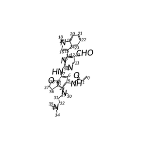 C=CC(=O)Nc1cc(Nc2ncc(C=O)c(-c3cn(C)c4ccccc34)n2)c2c(c1N(C)CCN(C)C)CCO2